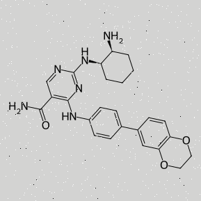 NC(=O)c1cnc(N[C@@H]2CCCC[C@@H]2N)nc1Nc1ccc(-c2ccc3c(c2)OCCO3)cc1